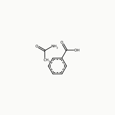 CC(N)=O.O=C(O)c1ccccc1